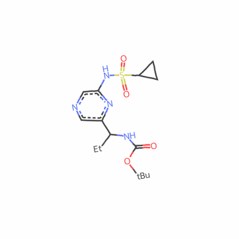 CCC(NC(=O)OC(C)(C)C)c1cncc(NS(=O)(=O)C2CC2)n1